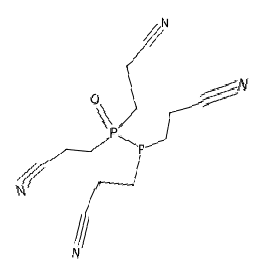 N#CCCP(CCC#N)P(=O)(CCC#N)CCC#N